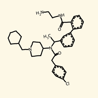 CC(c1cccc(-c2ccccc2C(=O)NCCN)c1)N(C(=O)Cc1ccc(Cl)cc1)C1CCN(CC2CCCCC2)CC1